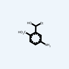 CCC(O)c1cc(N)ccc1C(=O)O